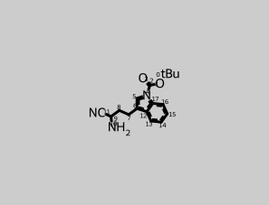 CC(C)(C)OC(=O)n1cc(CCC(N)C#N)c2ccccc21